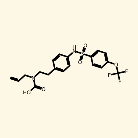 C=CCN(CCc1ccc(NS(=O)(=O)c2ccc(OC(F)(F)F)cc2)cc1)C(=O)O